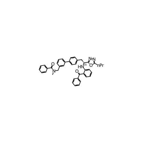 CCCc1nnc([C@H](Cc2ccc(-c3cccc(CN(C)C(=O)c4ccccc4)c3)cc2)Nc2ccccc2C(=O)c2ccccc2)o1